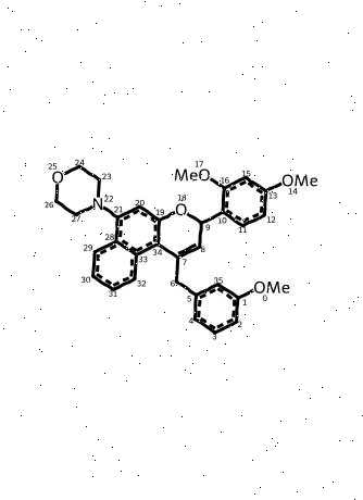 COc1cccc(CC2=CC(c3ccc(OC)cc3OC)Oc3cc(N4CCOCC4)c4ccccc4c32)c1